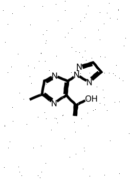 C=C(O)c1nc(C)cnc1-n1nccn1